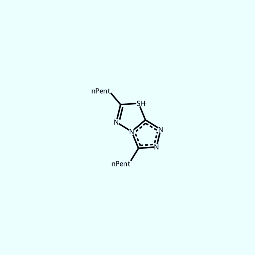 CCCCCC1=Nn2c(CCCCC)nnc2[SH]1